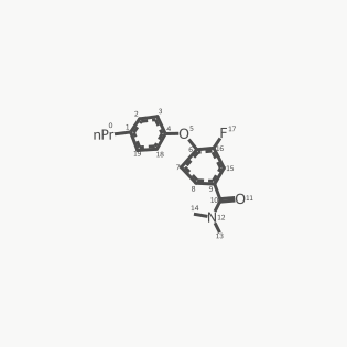 CCCc1ccc(Oc2ccc(C(=O)N(C)C)cc2F)cc1